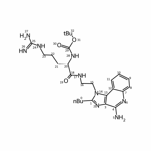 CCCCc1nc2c(N)nc3ccccc3c2n1CCNC(=O)[C@H](CCCNC(=N)N)NC(=O)OC(C)(C)C